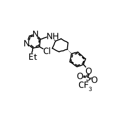 CCc1ncnc(N[C@H]2CC[C@@H](c3ccc(OS(=O)(=O)C(F)(F)F)cc3)CC2)c1Cl